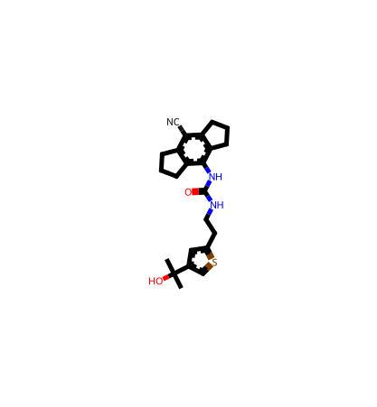 CC(C)(O)c1csc(CCNC(=O)Nc2c3c(c(C#N)c4c2CCC4)CCC3)c1